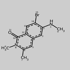 CNc1cc2cc(C)n(C)c(=O)c2cc1Br